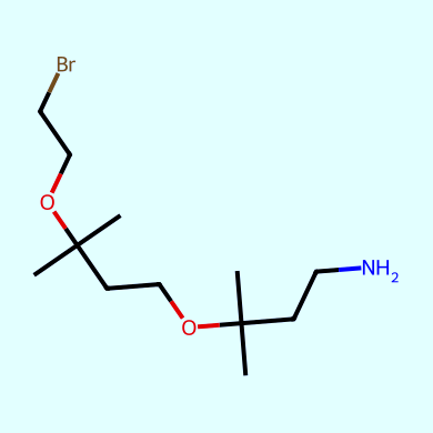 CC(C)(CCN)OCCC(C)(C)OCCBr